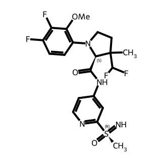 COc1c(N2CCC(C)(C(F)F)[C@H]2C(=O)Nc2ccnc([S@](C)(=N)=O)c2)ccc(F)c1F